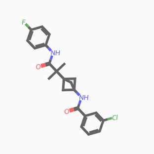 CC(C)(C(=O)Nc1ccc(F)cc1)C12CC(NC(=O)c3cccc(Cl)c3)(C1)C2